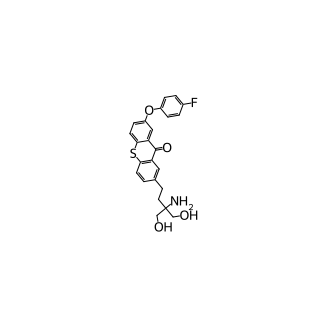 NC(CO)(CO)CCc1ccc2sc3ccc(Oc4ccc(F)cc4)cc3c(=O)c2c1